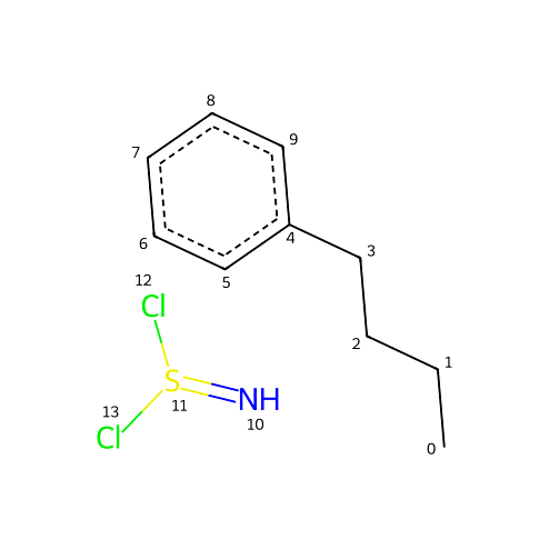 CCCCc1ccccc1.N=S(Cl)Cl